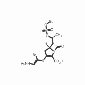 CCOS(=O)(=O)O[C@@H](C)[C@@H]1C(=O)N2C(C(=O)O)=C(S/C(Br)=C/NC(C)=O)C[C@H]12